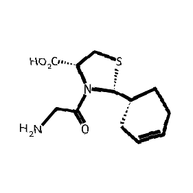 NCC(=O)N1[C@@H]([C@H]2CC=CCC2)SC[C@H]1C(=O)O